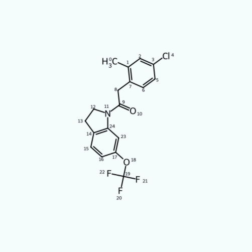 Cc1cc(Cl)ccc1CC(=O)N1CCc2ccc(OC(F)(F)F)cc21